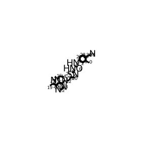 Cc1cc(NC(=O)Nc2ncc(CN3CCn4nc(C)c5ncnc3c54)s2)ccc1C#N